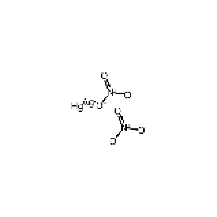 O=[N+]([O-])[O-].O=[N+]([O-])[O-].[Ag].[Hg+2]